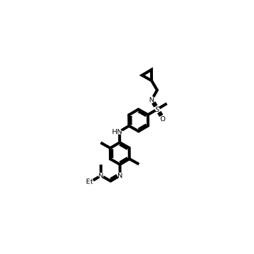 CCN(C)/C=N\c1cc(C)c(Nc2ccc(S(C)(=O)=NCC3CC3)cc2)cc1C